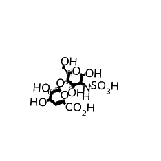 O=C(O)C1=CC(O)[C@H](O)[C@H](O[C@H]2[C@H](O)C(NS(=O)(=O)O)C(O)O[C@@H]2CO)O1